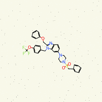 O=S(=O)(Cc1ccccc1)N1CCN(c2ccc3nc(COc4ccccc4)n(Cc4ccc(OC(F)(F)F)cc4)c3c2)CC1